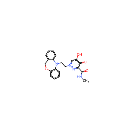 CNC(=O)c1nn(CCN2c3ccccc3COc3ccccc32)cc(O)c1=O